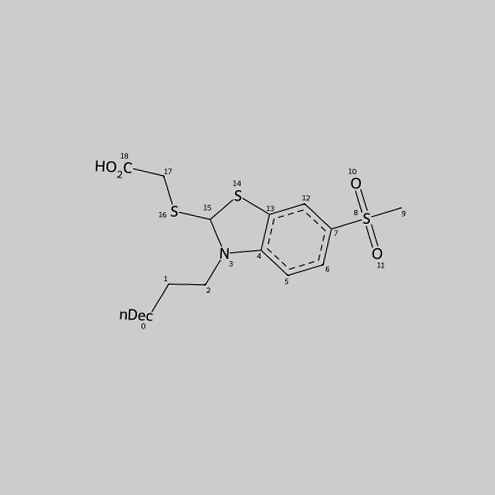 CCCCCCCCCCCCN1c2ccc(S(C)(=O)=O)cc2SC1SCC(=O)O